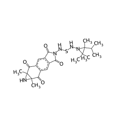 CC(C)C1(C)N(NSNN2C(=O)c3cc4c(cc3C2=O)C(=O)C2(C)NC2(C)C4=O)C1(C)C